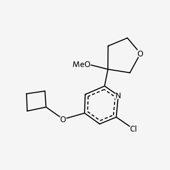 COC1(c2cc(OC3CCC3)cc(Cl)n2)CCOC1